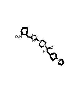 O=C(Nc1ccc(-n2cccc2)cc1)N1CCN(c2nc(Cc3ccccc3[N+](=O)[O-])ns2)CC1